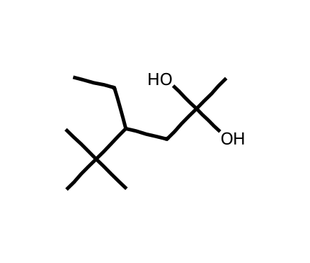 CCC(CC(C)(O)O)C(C)(C)C